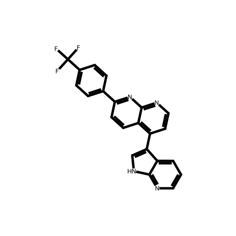 FC(F)(F)c1ccc(-c2ccc3c(-c4c[nH]c5ncccc45)ccnc3n2)cc1